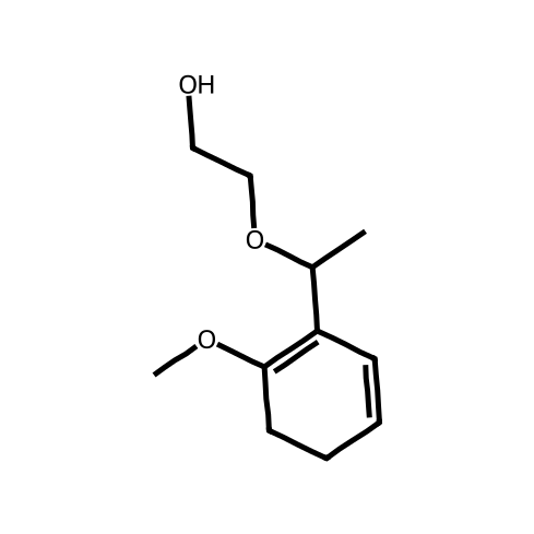 COC1=C(C(C)OCCO)C=CCC1